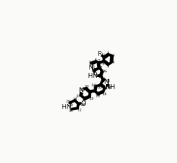 Fc1ccccc1-c1ccnc2[nH]c(-c3n[nH]c4ccc(-c5cncc(OC6CCNCC6)c5)cc34)cc12